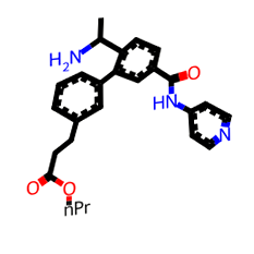 CCCOC(=O)CCc1cccc(-c2cc(C(=O)Nc3ccncc3)ccc2C(C)N)c1